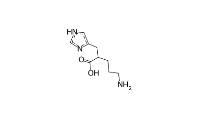 NCCCC(Cc1c[nH]cn1)C(=O)O